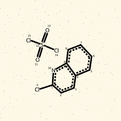 Clc1ccc2ccccc2n1.O=S(=O)(Cl)Cl